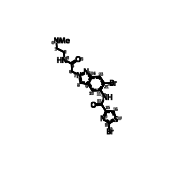 CNCCNC(=O)Cn1cc2cc(NC(=O)c3csc(Br)n3)c(Br)cc2n1